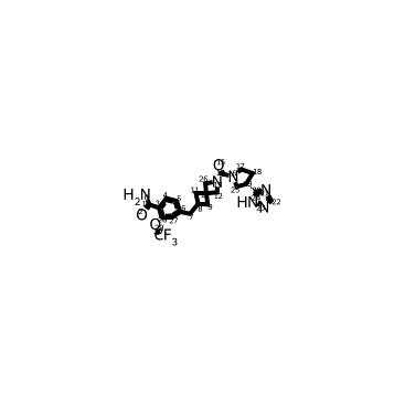 NC(=O)c1ccc(CC2CC3(C2)CN(C(=O)N2CC[C@H](c4ncn[nH]4)C2)C3)cc1OC(F)(F)F